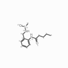 CCCCC(=O)Nc1ccccc1CN[S+](C)[O-]